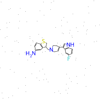 Nc1ccc2c(c1)C(CN1CC=C(c3c[nH]c4ccc(F)cc34)CC1)CS2